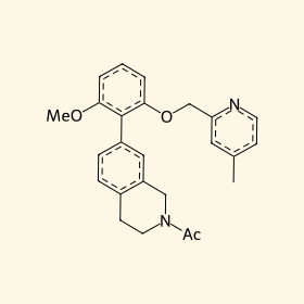 COc1cccc(OCc2cc(C)ccn2)c1-c1ccc2c(c1)CN(C(C)=O)CC2